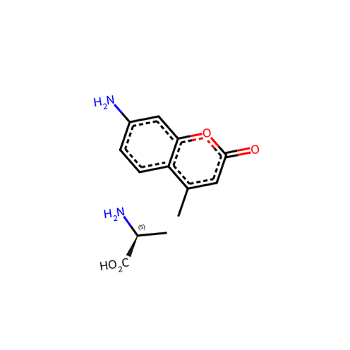 C[C@H](N)C(=O)O.Cc1cc(=O)oc2cc(N)ccc12